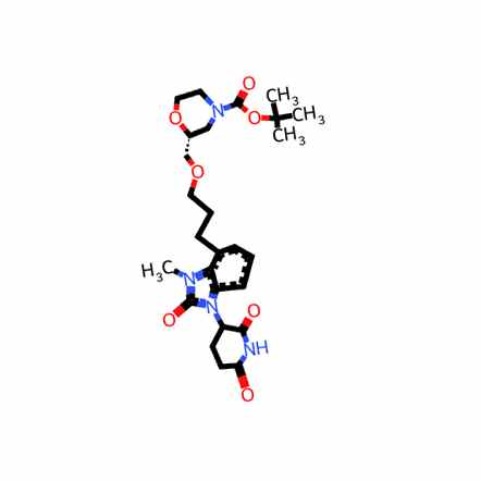 Cn1c(=O)n(C2CCC(=O)NC2=O)c2cccc(CCCOC[C@H]3CN(C(=O)OC(C)(C)C)CCO3)c21